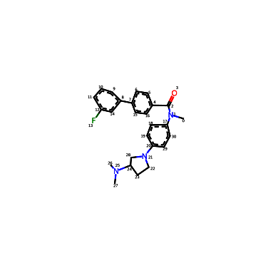 CN(C(=O)c1ccc(-c2cccc(F)c2)cc1)c1ccc(N2CCC(N(C)C)C2)cc1